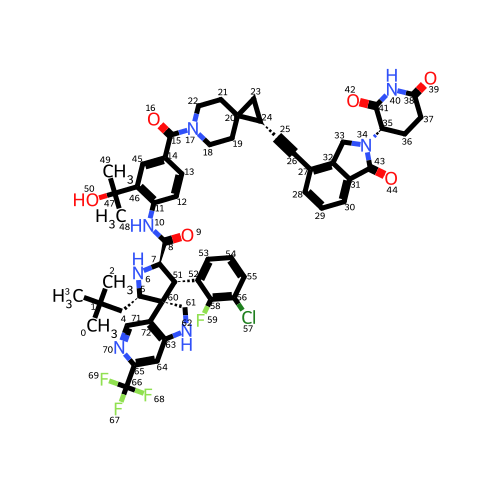 CC(C)(C)C[C@@H]1N[C@@H](C(=O)Nc2ccc(C(=O)N3CCC4(CC3)C[C@@H]4C#Cc3cccc4c3CN([C@H]3CCC(=O)NC3=O)C4=O)cc2C(C)(C)O)[C@H](c2cccc(Cl)c2F)[C@]12CNc1cc(C(F)(F)F)ncc12